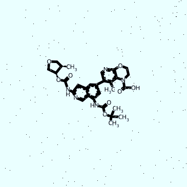 Cc1c(-c2cc(NC(=O)OC(C)(C)C)c3cnc(NC(=O)O[C@H]4COC[C@H]4C)cc3c2)cnc2c1N(C(=O)O)CCO2